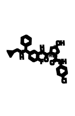 O=C(Nc1cc(C(NCC2CC2)c2ccccc2)ccc1F)[C@H]1C[C@@H](O)CN1C(=O)Nc1ccc(Cl)cc1